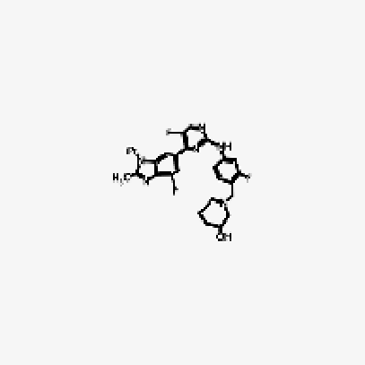 Cc1nc2c(F)cc(-c3nc(Nc4ccc(CN5CCCC(O)C5)c(F)c4)ncc3F)cc2n1C(C)C